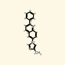 Cc1cn(-c2ccc3nc(-c4ccccc4)ccc3c2)cn1